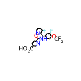 O=C(O)c1ccc(C(=O)NC(c2ccc(OC(F)(F)F)c(F)c2)c2ncccc2F)nc1